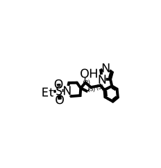 CCS(=O)(=O)N1CCC2(CC1)C[C@@H]([C@H]1c3ccccc3-c3cncn31)[C@H]2O